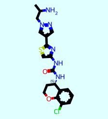 CC(N)Cn1cc(-c2nc(NC(=O)N[C@H]3CCOc4c(Cl)cccc43)cs2)cn1